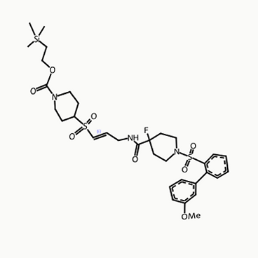 COc1cccc(-c2ccccc2S(=O)(=O)N2CCC(F)(C(=O)NC/C=C/S(=O)(=O)C3CCN(C(=O)OCC[Si](C)(C)C)CC3)CC2)c1